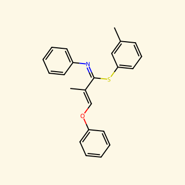 CC(=C\Oc1ccccc1)/C(=N\c1ccccc1)Sc1cccc(C)c1